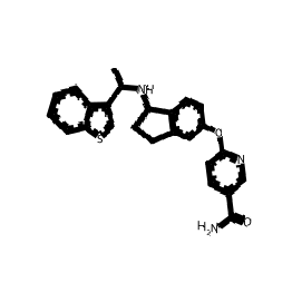 CC(NC1CCc2cc(Oc3ccc(C(N)=O)cn3)ccc21)c1csc2ccccc12